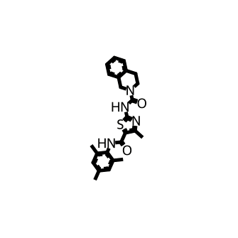 Cc1cc(C)c(NC(=O)c2sc(NC(=O)N3CCc4ccccc4C3)nc2C)c(C)c1